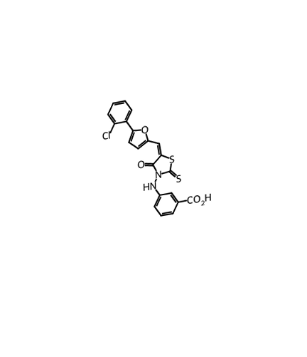 O=C(O)c1cccc(NN2C(=O)/C(=C\c3ccc(-c4ccccc4Cl)o3)SC2=S)c1